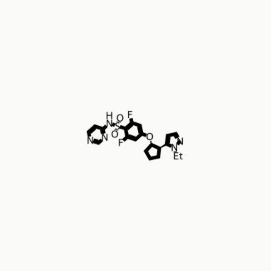 CCn1nccc1[C@H]1CCC[C@@H]1Oc1cc(F)c(S(=O)(=O)Nc2ccncn2)c(F)c1